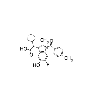 Cc1ccc(C(=O)n2c(C)c(C(C(=O)O)C3CCCC3)c3cc(O)c(F)cc32)cc1